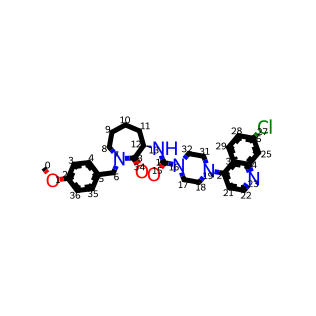 COc1ccc(CN2CCCC[C@H](NC(=O)N3CCN(c4ccnc5cc(Cl)ccc45)CC3)C2=O)cc1